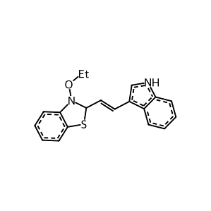 CCON1c2ccccc2SC1C=Cc1c[nH]c2ccccc12